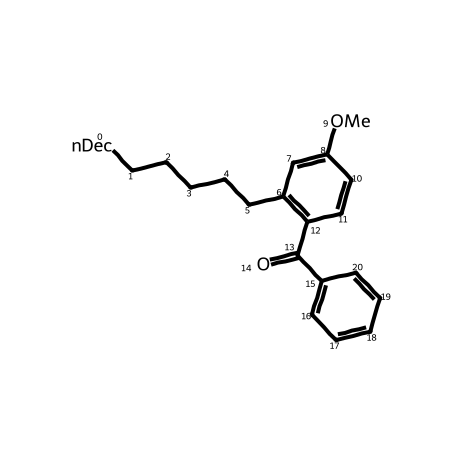 CCCCCCCCCCCCCCCc1cc(OC)ccc1C(=O)c1ccccc1